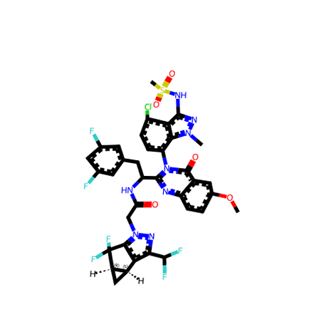 COc1ccc2nc(C(Cc3cc(F)cc(F)c3)NC(=O)Cn3nc(C(F)F)c4c3C(F)(F)[C@@H]3C[C@H]43)n(-c3ccc(Cl)c4c(NS(C)(=O)=O)nn(C)c34)c(=O)c2c1